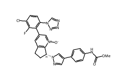 COC(=O)Nc1ccc(-c2cnn([C@@H]3CCc4cc(-c5c(-n6cnnn6)ccc(Cl)c5F)c[n+]([O-])c43)c2)cc1